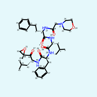 CC(C)C[C@@H](NC(=O)[C@H](CCc1ccccc1)NC(=O)CN1CCOCC1)C(=O)N[C@@H](Cc1ccccc1)C(=O)N[C@H](CC(C)C)C(=O)[C@]1(C)CO1